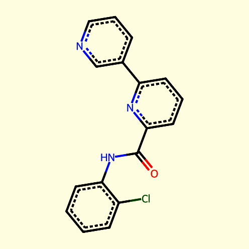 O=C(Nc1ccccc1Cl)c1cccc(-c2cccnc2)n1